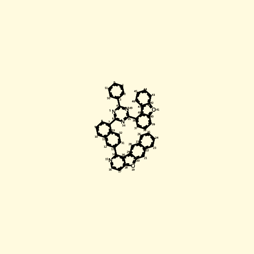 c1ccc(-c2nc(-c3cccc4cc(-c5nccc6oc7cc8ccccc8cc7c56)ccc34)nc(-c3cccc4oc5ccccc5c34)n2)cc1